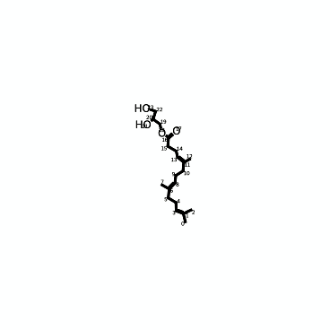 CC(C)=CCCC(C)=CCCC(C)=CCCC(=O)OCC(O)CO